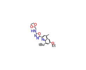 CCOc1cc(C(C)(C)C)c2nc(-c3nnc(NCC4OCCO4)o3)cc(C)c2c1